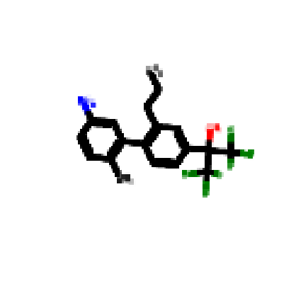 CCCc1cc(C(O)(C(F)(F)F)C(F)(F)F)ccc1-c1cc(N)ccc1C